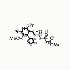 COCc1c(C(C)C)nc(C(C)C)c(C=CC(O)CC(O)CC(=O)OC)c1-c1cccs1